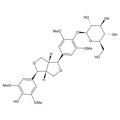 COc1cc([C@H]2OC[C@H]3[C@@H]2CO[C@@H]3c2cc(OC)c(O[C@@H]3O[C@H](CO)[C@@H](O)[C@H](O)[C@H]3O)c(OC)c2)cc(OC)c1O